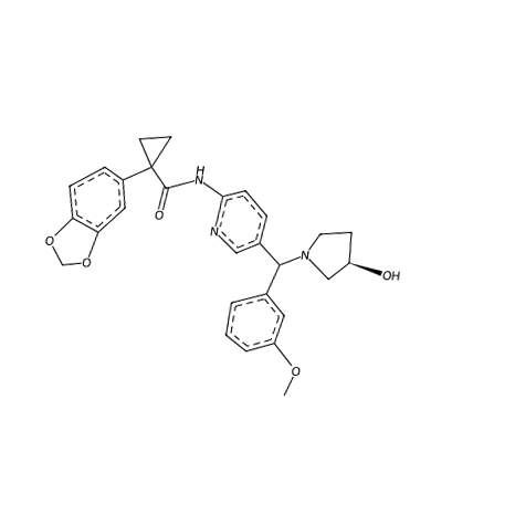 COc1cccc(C(c2ccc(NC(=O)C3(c4ccc5c(c4)OCO5)CC3)nc2)N2CC[C@@H](O)C2)c1